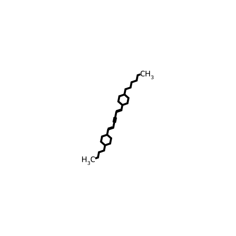 CCCCCCC1CCC(C=CC#CC=CC2CCC(CCCC)CC2)CC1